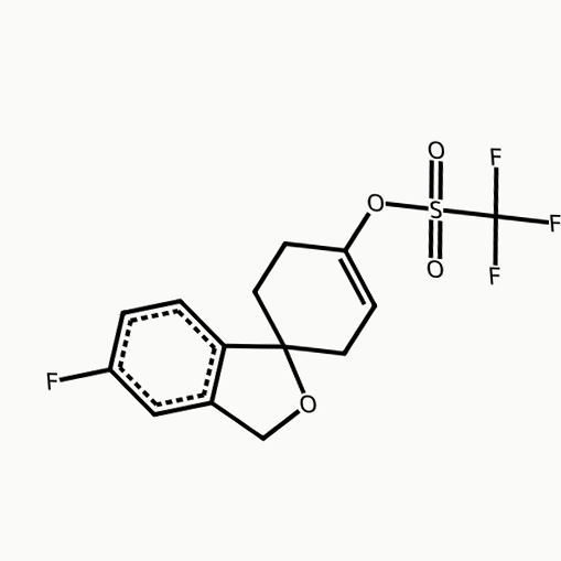 O=S(=O)(OC1=CCC2(CC1)OCc1cc(F)ccc12)C(F)(F)F